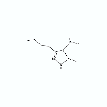 CCCCC1=NNC(C)C1NC